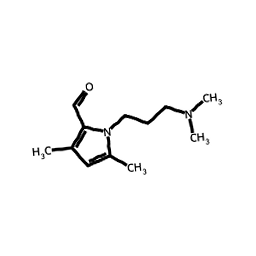 Cc1cc(C)n(CCCN(C)C)c1C=O